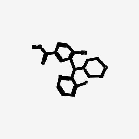 COC(=O)c1ccc(O)c(C(c2ncccc2F)N2CCOCC2)c1